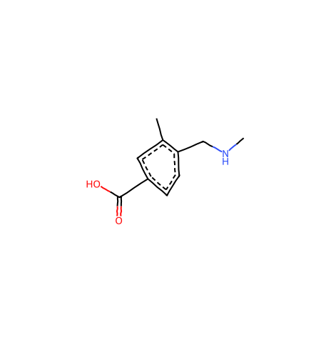 CNCc1ccc(C(=O)O)cc1C